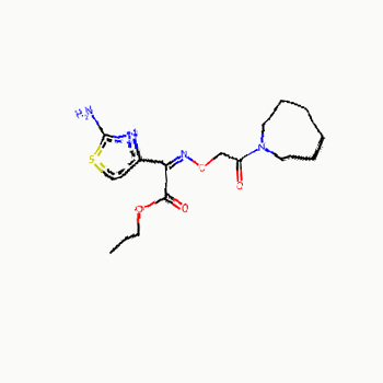 CCOC(=O)C(=NOCC(=O)N1CCCCCC1)c1csc(N)n1